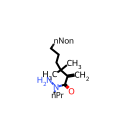 C=C(C(=O)N(N)CCC)C(C)(C)CCCCCCCCCCCC